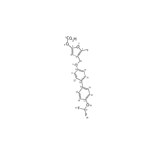 Cc1oc(OC(=O)O)cc1COc1ccc(-c2ccc(OC(F)F)cc2)cc1